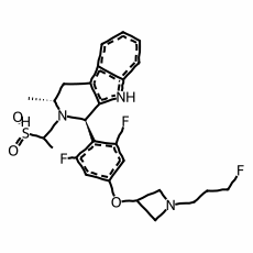 CC(N1[C@H](c2c(F)cc(OC3CN(CCCF)C3)cc2F)c2[nH]c3ccccc3c2C[C@H]1C)[SH](=O)=O